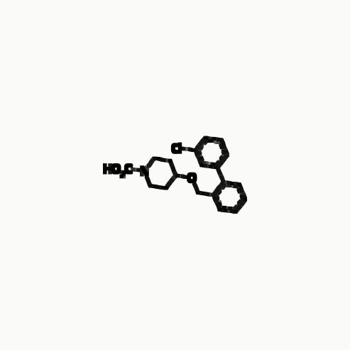 O=C(O)N1CCC(OCc2ccccc2-c2cccc(Cl)c2)CC1